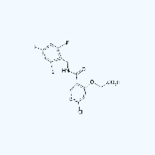 O=C(O)COc1cc(Cl)ccc1C(=O)NCc1c(F)cc(I)cc1F